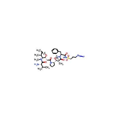 CC[C@H](C)[C@@H]([C@@H](CC(=O)N1CCC[C@H]1C(OC)[C@@H](C)C(=O)N[C@@H](Cc1ccccc1)C(=O)NS(=O)(=O)CCCN=[N+]=[N-])OC)N(C)C(=O)[C@@H](N)C(C)C